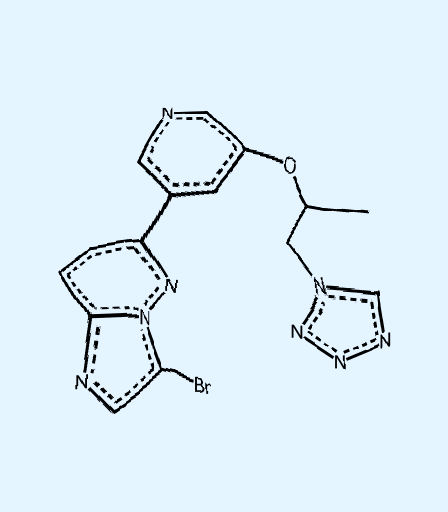 CC(Cn1cnnn1)Oc1cncc(-c2ccc3ncc(Br)n3n2)c1